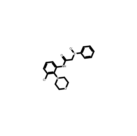 O=C(C[S+]([O-])c1ccccc1)Nc1cccc(Cl)c1N1CCOCC1